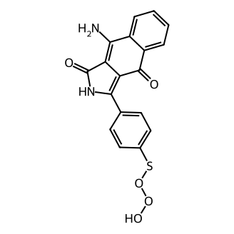 NC1=C2C(=O)NC(c3ccc(SOOO)cc3)=C2C(=O)c2ccccc21